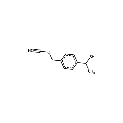 C#COCc1ccc(C(C)S)cc1